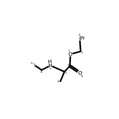 CC(C)COC(=O)C(C)NCI